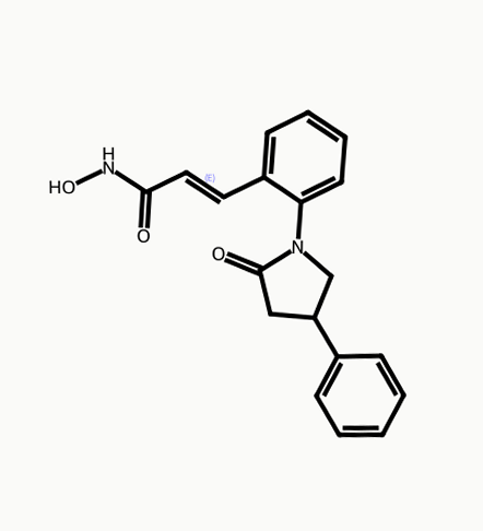 O=C(/C=C/c1ccccc1N1CC(c2ccccc2)CC1=O)NO